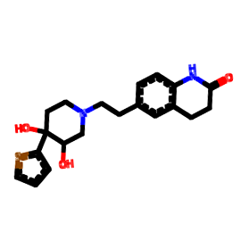 O=C1CCc2cc(CCN3CCC(O)(c4cccs4)C(O)C3)ccc2N1